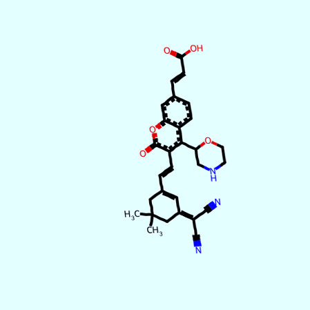 CC1(C)CC(C=Cc2c(C3CNCCO3)c3ccc(C=CC(=O)O)cc3oc2=O)=CC(=C(C#N)C#N)C1